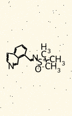 CC(C)(C)[S@+]([O-])/N=C/c1cccc2ccncc12